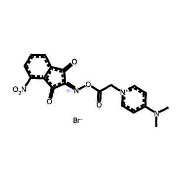 CN(C)c1cc[n+](CC(=O)O/N=c2\c(=O)c3cccc([N+](=O)[O-])c3c2=O)cc1.[Br-]